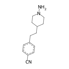 N#Cc1ccc(CCC2CCN(N)CC2)cc1